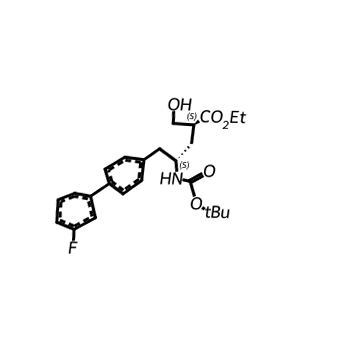 CCOC(=O)[C@H](CO)C[C@@H](Cc1ccc(-c2cccc(F)c2)cc1)NC(=O)OC(C)(C)C